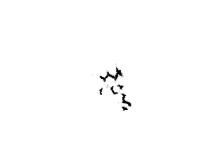 CCCC(NCC(C)C)C(C)C(C(N)=O)N1CCN(Cc2csc(C)n2)C1=O